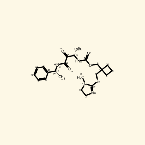 CCCC[C@H](NC(=O)OCC1(CSC2=NCCN2C)CCC1)C(=O)C(=O)N[C@H](C)c1ccccc1